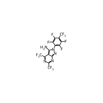 Nc1c2c(C(F)(F)F)nc(C(F)(F)F)nc2nn1-c1c(F)c(F)c(C(F)(F)F)c(F)c1F